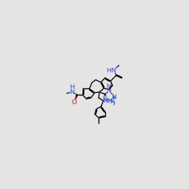 C=C(NC)c1ccc2c(c1)CCc1cc(C(=O)NC)ccc1C2(C[C@H](N)c1ccc(C)cc1)c1nnn[nH]1